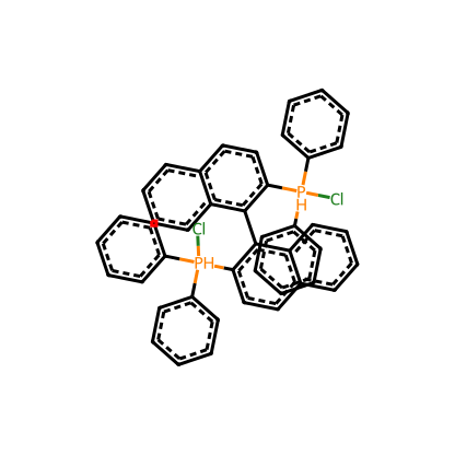 Cl[PH](c1ccccc1)(c1ccccc1)c1ccc2ccccc2c1-c1c([PH](Cl)(c2ccccc2)c2ccccc2)ccc2ccccc12